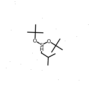 CC(C)C[SiH](OC(C)(C)C)OC(C)(C)C